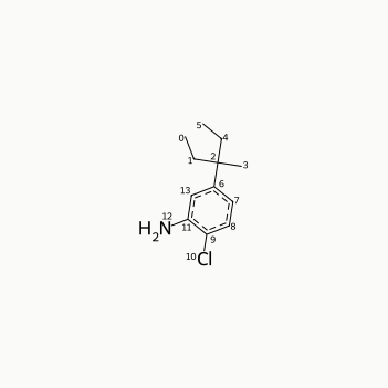 CCC(C)(CC)c1ccc(Cl)c(N)c1